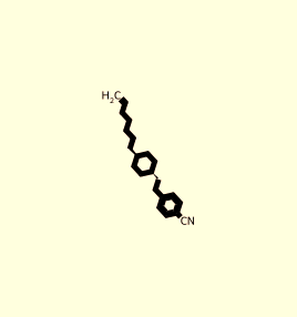 C=CCCCCC[C@H]1CC[C@H](CCc2ccc(C#N)cc2)CC1